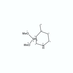 CC1CCNCC1.CO[SiH2]OC